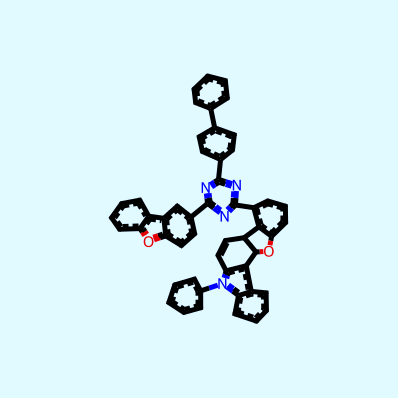 C1=CC2c3c(cccc3-c3nc(-c4ccc(-c5ccccc5)cc4)nc(-c4ccc5oc6ccccc6c5c4)n3)OC2c2c1n(-c1ccccc1)c1ccccc21